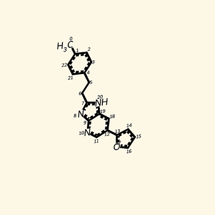 Cc1ccc(CCc2nc3ncc(-c4ccco4)cc3[nH]2)cc1